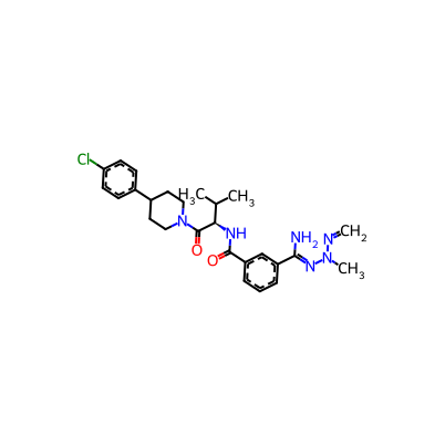 C=NN(C)/N=C(\N)c1cccc(C(=O)N[C@@H](C(=O)N2CCC(c3ccc(Cl)cc3)CC2)C(C)C)c1